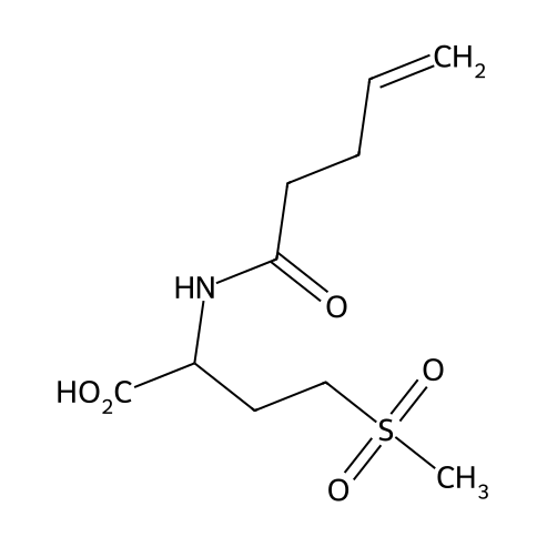 C=CCCC(=O)NC(CCS(C)(=O)=O)C(=O)O